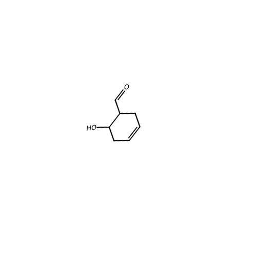 O=CC1CC=CCC1O